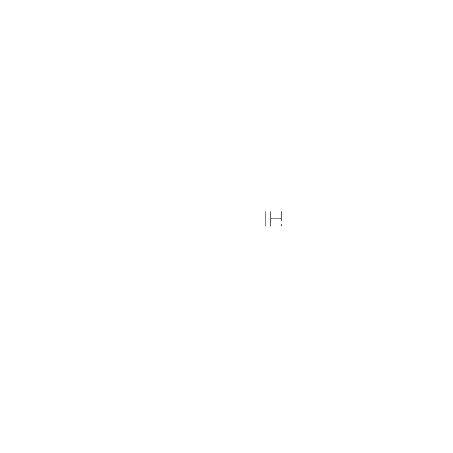 C1=C[IH]CC1